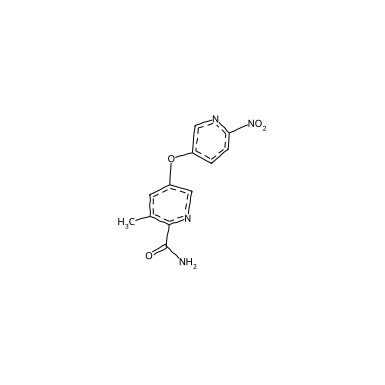 Cc1cc(Oc2ccc([N+](=O)[O-])nc2)cnc1C(N)=O